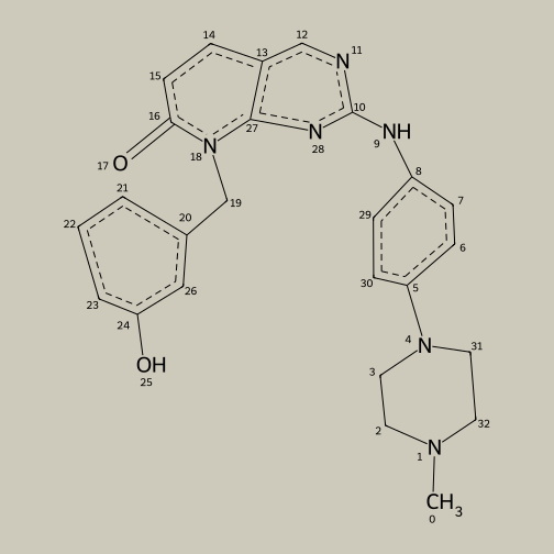 CN1CCN(c2ccc(Nc3ncc4ccc(=O)n(Cc5cccc(O)c5)c4n3)cc2)CC1